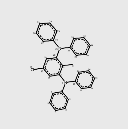 Cc1c(N(c2ccccc2)c2ccccc2)cc(Cl)cc1N(c1ccccc1)c1ccccc1